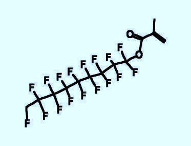 C=C(C)C(=O)OC(F)(F)C(F)(F)C(F)(F)C(F)(F)C(F)(F)C(F)(F)C(F)(F)C(F)(F)CF